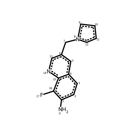 Nc1ccc2cc(Cn3cccc3)cnc2c1F